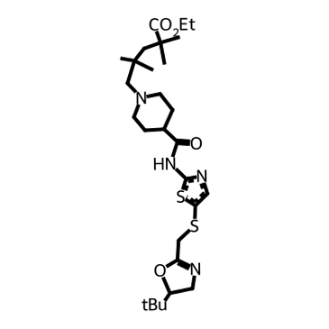 CCOC(=O)C(C)(C)CC(C)(C)CN1CCC(C(=O)Nc2ncc(SCC3=NCC(C(C)(C)C)O3)s2)CC1